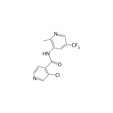 Cc1ncc(C(F)(F)F)cc1NC(=O)c1ccncc1Cl